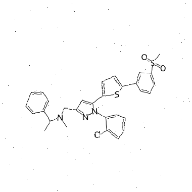 CC(c1ccccc1)N(C)Cc1cc(-c2ccc(-c3cccc(S(C)(=O)=O)c3)s2)n(-c2ccccc2Cl)n1